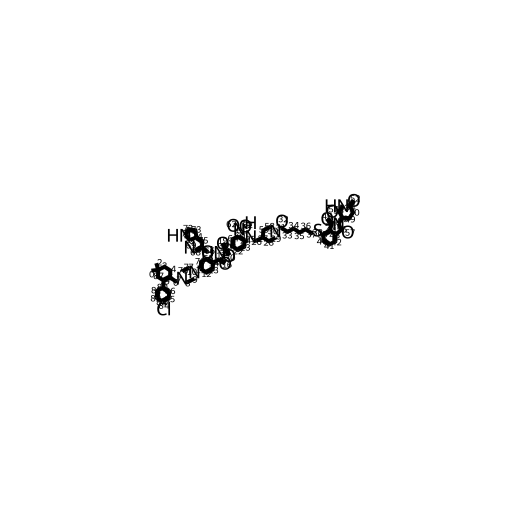 CC1(C)CCC(CN2CCN(c3ccc(C(=O)NS(=O)(=O)c4ccc(NCC5CCN(C(=O)CCCCCSc6cccc7c6C(=O)N(C6CCC(=O)NC6=O)C7=O)CC5)c([N+](=O)[O-])c4)c(Oc4cnc5[nH]ccc5c4)c3)CC2)=C(c2ccc(Cl)cc2)C1